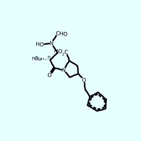 CCCC[C@H](CN(O)C=O)C(=O)N1CC(OCc2ccccc2)CC1C(=O)O